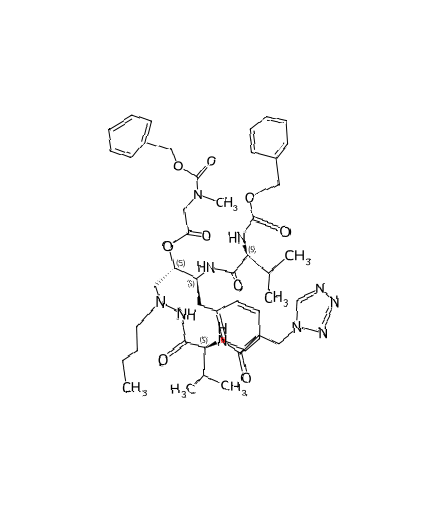 CCCCN(C[C@H](OC(=O)CN(C)C(=O)OCc1ccccc1)[C@H](Cc1ccccc1)NC(=O)[C@@H](NC(=O)OCc1ccccc1)C(C)C)NC(=O)[C@@H](NC(=O)CCn1cnnn1)C(C)C